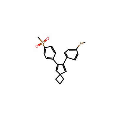 CSc1ccc(C2=CC3(C=C2c2ccc(S(C)(=O)=O)cc2)CCC3)cc1